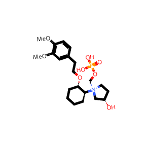 COc1ccc(CCO[C@H]2CCCC[C@@H]2[N@@+]2(COP(=O)(O)O)CC[C@H](O)C2)cc1OC